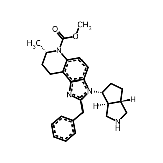 COC(=O)N1c2ccc3c(nc(Cc4ccccc4)n3[C@@H]3CC[C@@H]4CNC[C@H]43)c2CC[C@@H]1C